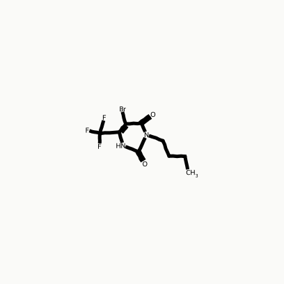 CCCCn1c(=O)[nH]c(C(F)(F)F)c(Br)c1=O